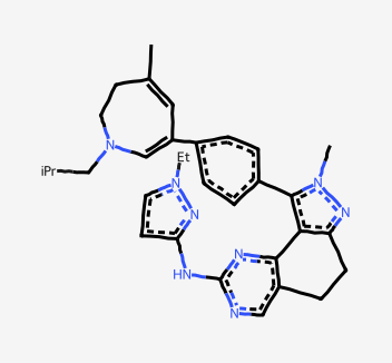 CCn1ccc(Nc2ncc3c(n2)-c2c(nn(C)c2-c2ccc(C4=CN(CC(C)C)CCC(C)=C4)cc2)CC3)n1